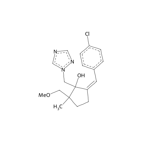 COCC1(C)CCC(=Cc2ccc(Cl)cc2)C1(O)Cn1cncn1